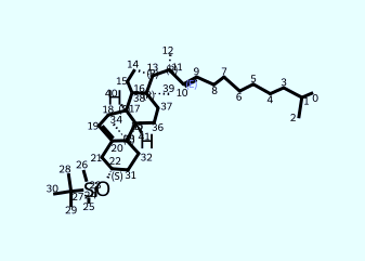 CC(C)CCCCCC/C=C/[C@@H](C)[C@H]1CCC2[C@@H]3CC=C4C[C@@H](O[Si](C)(C)C(C)(C)C)CC[C@]4(C)[C@H]3CC[C@@]21C